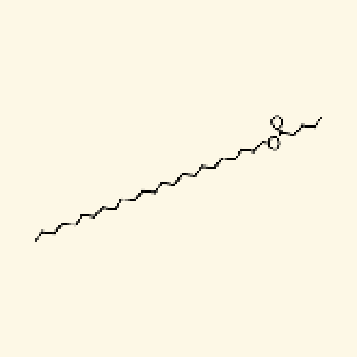 CCCCCCCCCCCCCCCCCCCCCCCCOC(=O)CCCC